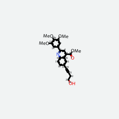 COC(=O)c1cc(-c2cc(OC)c(OC)c(OC)c2)nc2ccc(C#CCCO)cc12